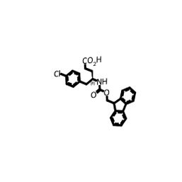 O=C(O)CC[C@H](Cc1ccc(Cl)cc1)NC(=O)OCC1c2ccccc2-c2ccccc21